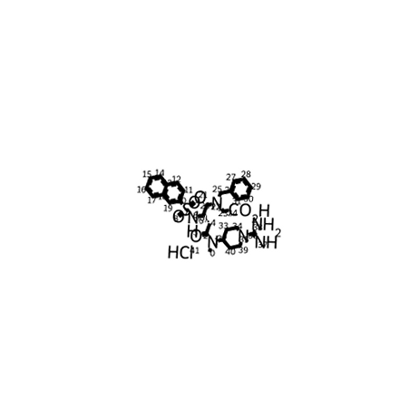 CN(C(=O)C[C@H](NS(=O)(=O)c1ccc2ccccc2c1)C(=O)N(CC(=O)O)Cc1ccccc1)C1CCN(C(=N)N)CC1.Cl